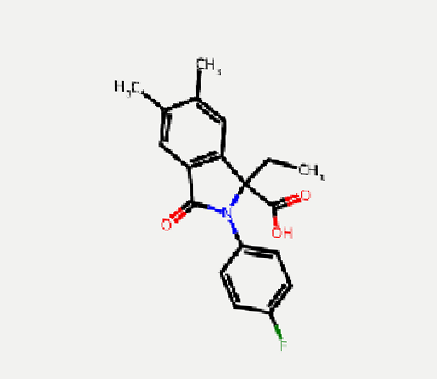 CCC1(C(=O)O)c2cc(C)c(C)cc2C(=O)N1c1ccc(F)cc1